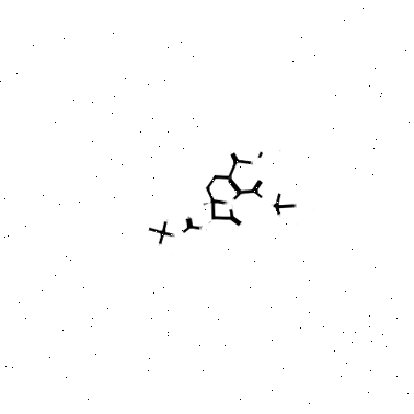 COC(=O)C1=C(C(=O)OC(C)(C)C)N2C(=O)[C@@H](NC(=O)OC(C)(C)C)[C@@H]2CC1